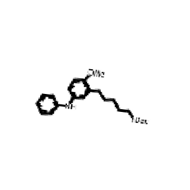 CCCCCCCCCCCCCCCc1cc(Nc2ccccc2)ccc1OC